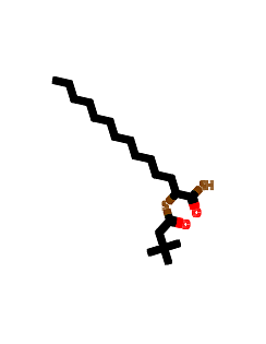 CCCCCCCCCCCCC(SC(=O)CC(C)(C)C)C(=O)S